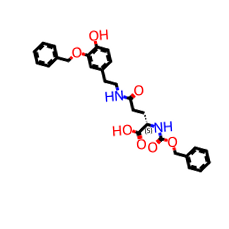 O=C(CC[C@H](NC(=O)OCc1ccccc1)C(=O)O)NCCc1ccc(O)c(OCc2ccccc2)c1